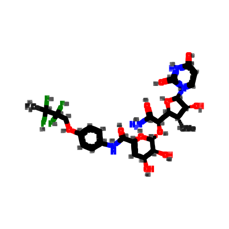 CO[C@H]1[C@@H](O)[C@H](n2ccc(=O)[nH]c2=O)O[C@@H]1[C@@H](O[C@H]1OC(C(=O)Nc2ccc(OCC(F)(F)C(F)(F)C(F)(F)F)cc2)=C[C@H](O)[C@@H]1O)C(N)=O